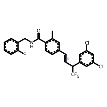 Cc1cc(/C=C/C(c2cc(Cl)cc(Cl)c2)C(F)(F)F)ccc1C(=O)NCc1ccccc1F